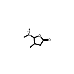 CC1CC(=O)OC1[SiH](C)C